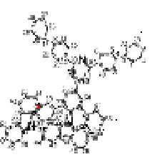 c1ccc(-c2ccc(-c3nc(-c4ccc(-c5ccccc5)cc4)nc(-c4cc(-c5ccccc5)c(-n5c6ccccc6c6ccc(-n7c8ccccc8c8ccccc87)cc65)c(-c5ccccc5)c4)n3)cc2)cc1